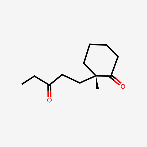 CCC(=O)CC[C@]1(C)CCCCC1=O